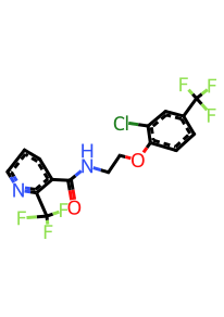 O=C(NCCOc1ccc(C(F)(F)F)cc1Cl)c1cccnc1C(F)(F)F